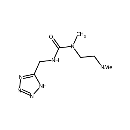 CNCCN(C)C(=O)NCc1nnn[nH]1